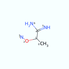 CC(O[N])C(=N)N